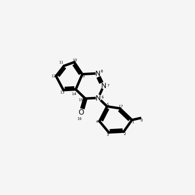 Cc1cccc(-n2nnc3ccccc3c2=O)c1